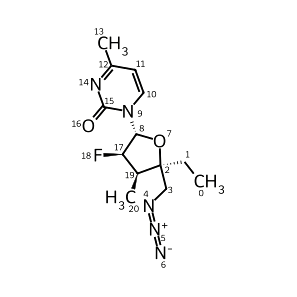 CC[C@@]1(CN=[N+]=[N-])O[C@@H](n2ccc(C)nc2=O)[C@H](F)[C@@H]1C